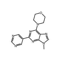 Cn1[c]nc2c(N3CCOCC3)nc(-c3cncnc3)nc21